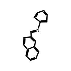 C(=Nc1ccccc1)c1ccc2ccccc2c1